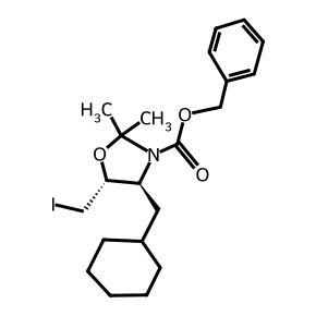 CC1(C)O[C@@H](CI)[C@H](CC2CCCCC2)N1C(=O)OCc1ccccc1